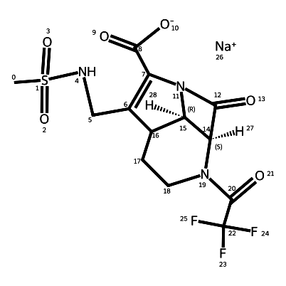 CS(=O)(=O)NCC1=C(C(=O)[O-])N2C(=O)[C@@H]3[C@H]2C1CCN3C(=O)C(F)(F)F.[Na+]